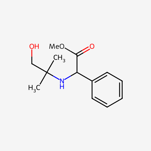 COC(=O)C(NC(C)(C)CO)c1ccccc1